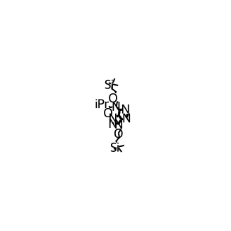 CC(C)C(=O)N(COCC[Si](C)(C)C)c1ncnc2c1nnn2COCC[Si](C)(C)C